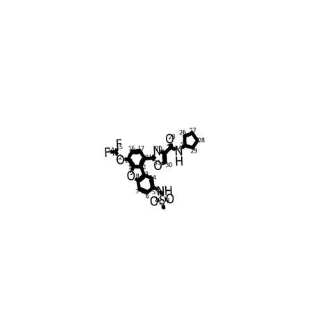 CS(=O)(=O)Nc1ccc2oc3c(OC(F)F)ccc(-c4nc(C(=O)NC5CCCC5)co4)c3c2c1